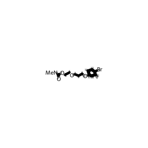 CNC(=O)OCCOCCCOc1ccc(Br)c(F)c1